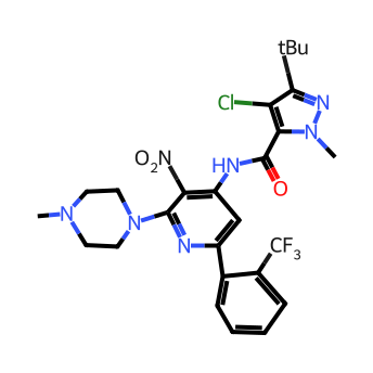 CN1CCN(c2nc(-c3ccccc3C(F)(F)F)cc(NC(=O)c3c(Cl)c(C(C)(C)C)nn3C)c2[N+](=O)[O-])CC1